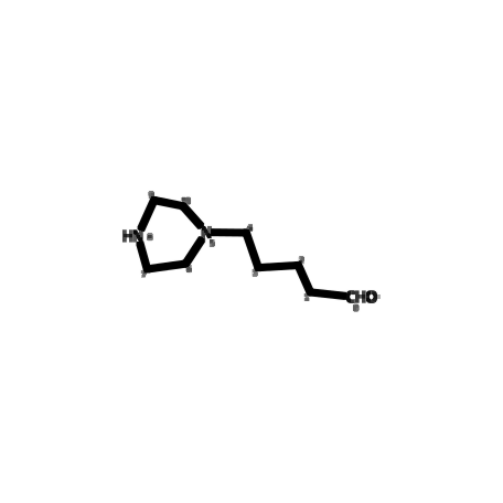 O=[C]CCCCN1CCNCC1